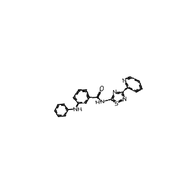 O=C(Nc1nc(-c2ccccn2)ns1)c1cccc(Nc2ccccc2)c1